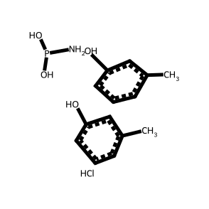 Cc1cccc(O)c1.Cc1cccc(O)c1.Cl.NP(O)O